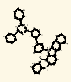 c1ccc(-c2nc(-c3ccccc3)nc(-c3cccc(-c4cccc(-n5c6cc7ccccc7cc6c6ccc7c(c65)Sc5ccccc5S7)c4)c3)n2)cc1